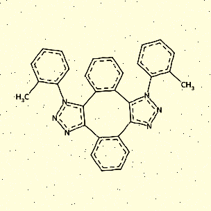 Cc1ccccc1-n1nnc2c1-c1ccccc1-c1c(nnn1-c1ccccc1C)-c1ccccc1-2